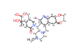 CC[C@@]1(O)C(=O)OCc2cn(Cc3c(I)nc4cc5c(cc4c3CN3CCN(C)CC3)OCCO5)c(=O)cc21